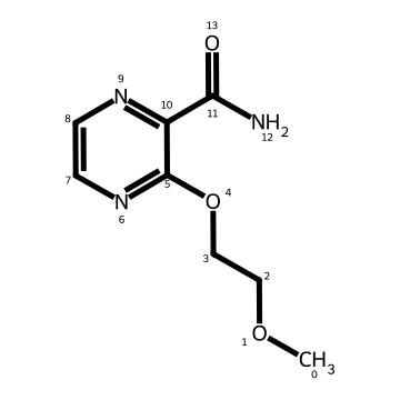 COCCOc1nccnc1C(N)=O